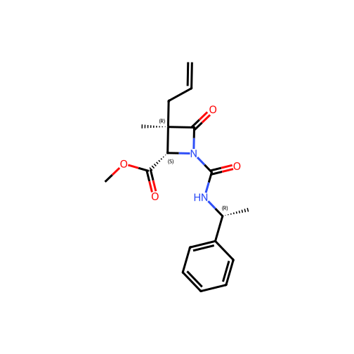 C=CC[C@@]1(C)C(=O)N(C(=O)N[C@H](C)c2ccccc2)[C@@H]1C(=O)OC